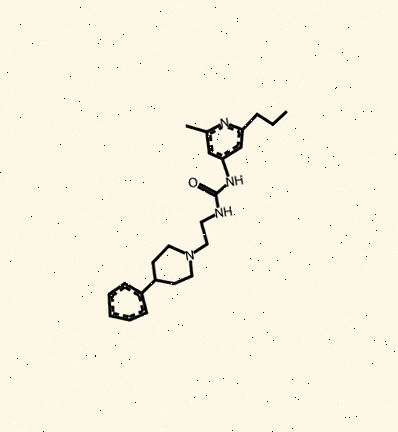 CCCc1cc(NC(=O)NCCN2CCC(c3ccccc3)CC2)cc(C)n1